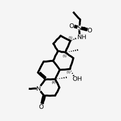 CCS(=O)(=O)N[C@H]1CCC2C3CC=C4N(C)C(=O)CC[C@]4(C)C3[C@@H](O)C[C@@]21C